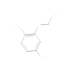 COCOc1cc(OC)ccc1C